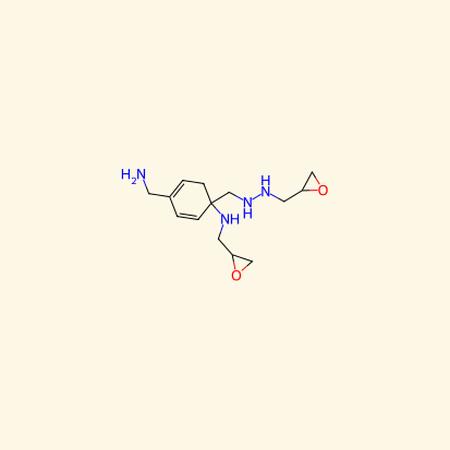 NCC1=CCC(CNNCC2CO2)(NCC2CO2)C=C1